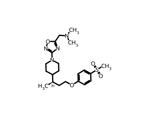 C[C@H](CCOc1ccc(S(C)(=O)=O)cc1)C1CCN(c2noc(CN(C)C)n2)CC1